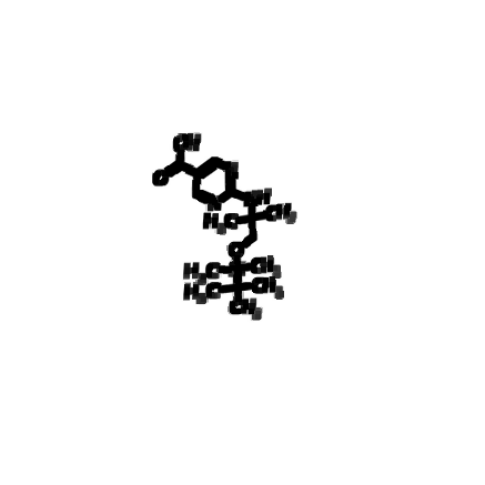 CC(C)(CO[Si](C)(C)C(C)(C)C)Nc1ncc(C(=O)O)cn1